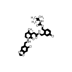 CC1=C(CC(=O)NCc2cc(Cl)ccc2COC(=O)NC(C)(C)C)C(=O)N(NCc2cc3c(cc2Cl)OCO3)CC1